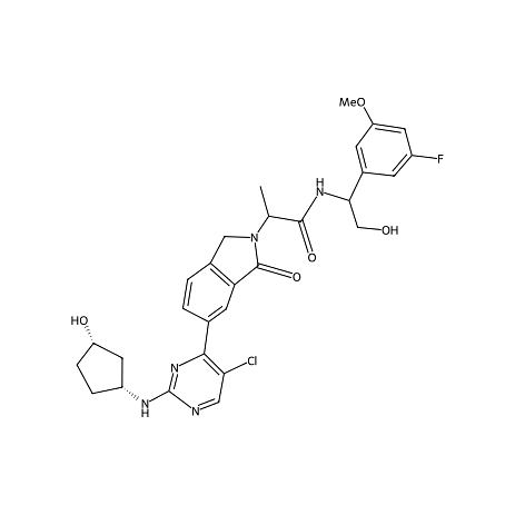 COc1cc(F)cc(C(CO)NC(=O)C(C)N2Cc3ccc(-c4nc(N[C@@H]5CC[C@H](O)C5)ncc4Cl)cc3C2=O)c1